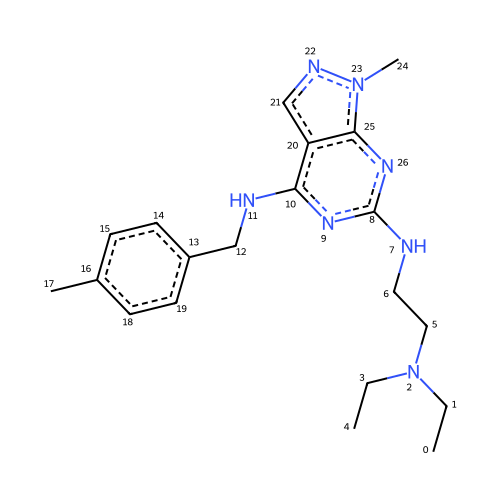 CCN(CC)CCNc1nc(NCc2ccc(C)cc2)c2cnn(C)c2n1